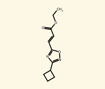 CCOC(=O)/C=C/c1nc(C2CCC2)no1